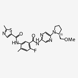 COC[C@@H]1CCCN1c1cnc(NC(=O)c2cc(NC(=O)c3cnc(C)s3)c(C)cc2F)cn1